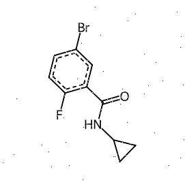 O=C(NC1CC1)c1cc(Br)ccc1F